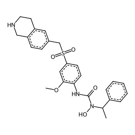 COc1cc(S(=O)(=O)Cc2ccc3c(c2)CCNC3)ccc1NC(=O)N(O)C(C)c1ccccc1